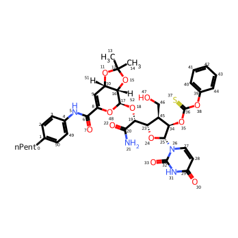 CCCCCc1ccc(NC(=O)C2=C[C@@H]3OC(C)(C)O[C@@H]3[C@@H](O[C@@H](C(N)=O)[C@H]3O[C@@H](n4ccc(=O)[nH]c4=O)[C@H](OC(=S)Oc4ccccc4)[C@@H]3CO)O2)cc1